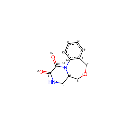 O=C1NCC2COCc3ccccc3N2C1=O